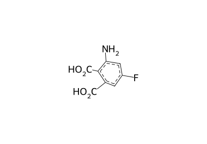 Nc1cc(F)cc(C(=O)O)c1C(=O)O